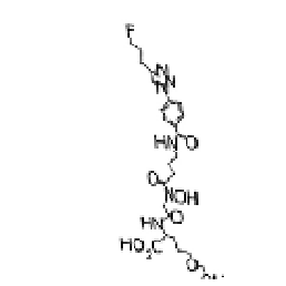 O=C(CN(O)C(=O)CCCNC(=O)c1ccc(-n2cc(CCCF)nn2)cc1)N[C@@H](CCCOCO)C(=O)O